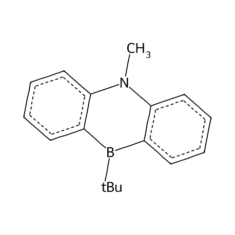 CN1c2ccccc2B(C(C)(C)C)c2ccccc21